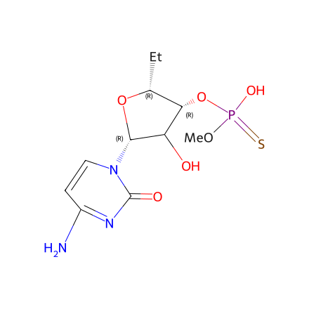 CC[C@H]1O[C@@H](n2ccc(N)nc2=O)C(O)[C@H]1OP(O)(=S)OC